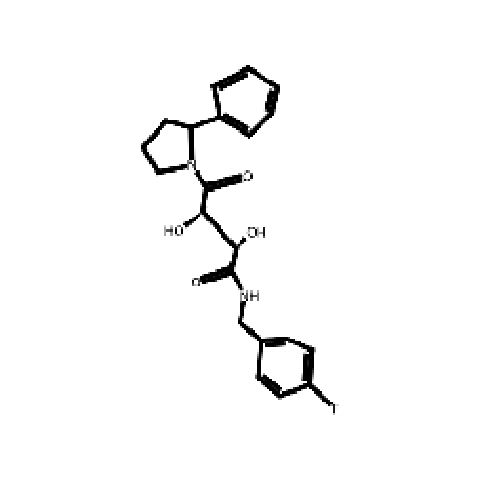 O=C(NCc1ccc(F)cc1)[C@H](O)[C@@H](O)C(=O)N1CCCC1c1ccccc1